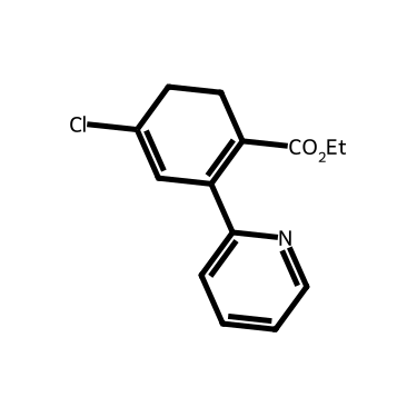 CCOC(=O)C1=C(c2ccccn2)C=C(Cl)CC1